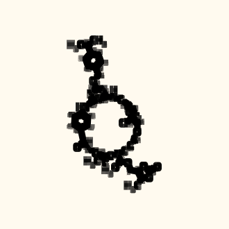 Cc1oc(=O)oc1COC(=O)N1CCCOc2ccc(cc2Cl)CNc2nc(nc(OCc3ccc(C(C)C)cc3)n2)Nc2ccc(cc2)C(=O)NCC(C)(C)C1